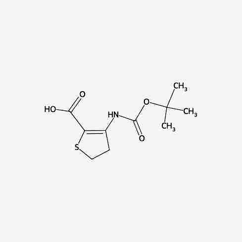 CC(C)(C)OC(=O)NC1=C(C(=O)O)SCC1